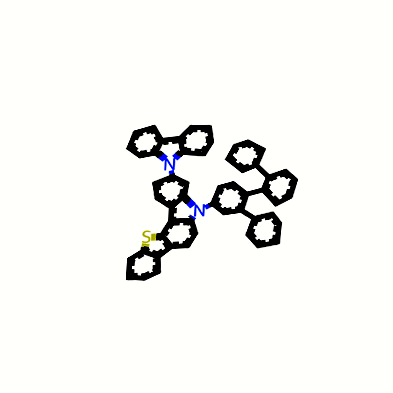 c1ccc(-c2ccccc2-c2ccc(-n3c4cc(-n5c6ccccc6c6ccccc65)ccc4c4c5sc6ccccc6c5ccc43)cc2-c2ccccc2)cc1